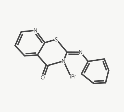 CC(C)n1c(=Nc2ccccc2)sc2ncccc2c1=O